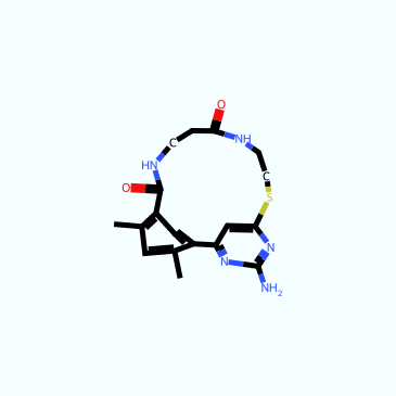 Cc1cc(C)c2cc1C(=O)NCCC(=O)NCCSc1cc-2nc(N)n1